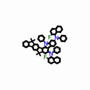 CC1(C)c2ccccc2-c2cc3c(cc21)-c1c(cc(N(c2ccccc2)c2c(F)ccc4ccccc24)c2c4ccc(N(c5ccccc5)c5c(F)ccc6ccccc56)cc4n(-c4ccccc4)c12)C3(C)C